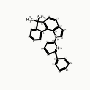 CC1(C)c2ccccc2-c2c1ccc1ccn(-c3cccc(-c4ccccc4)n3)c21